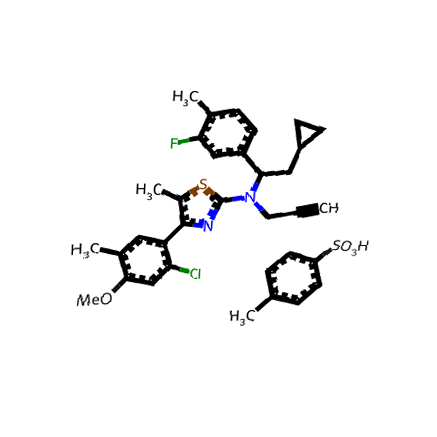 C#CCN(c1nc(-c2cc(C)c(OC)cc2Cl)c(C)s1)C(CC1CC1)c1ccc(C)c(F)c1.Cc1ccc(S(=O)(=O)O)cc1